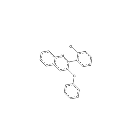 Clc1ccccc1-c1nc2ccccc2cc1Oc1ccccc1